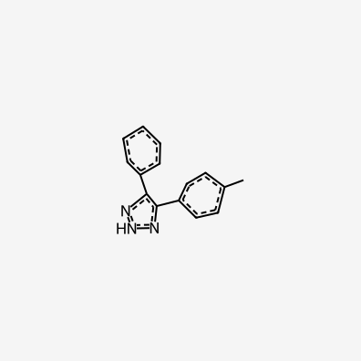 Cc1ccc(-c2n[nH]nc2-c2ccccc2)cc1